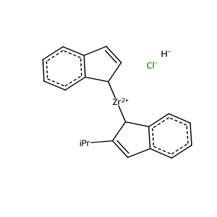 CC(C)C1=Cc2ccccc2[CH]1[Zr+2][CH]1C=Cc2ccccc21.[Cl-].[H-]